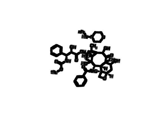 CC(=O)O[C@@]12CO[C@@H]1C[C@H](O)[C@@]1(C)C(=O)[C@H](O)C3=C(C)[C@@H](OC(=O)[C@H](O)[C@@H](NC(=O)OC(C)(C)C)c4ccccc4)C[C@@](O)([C@@H](OC(=O)c4ccccc4)[C@H]21)C3(C)C.CCCNN1CCOCC1